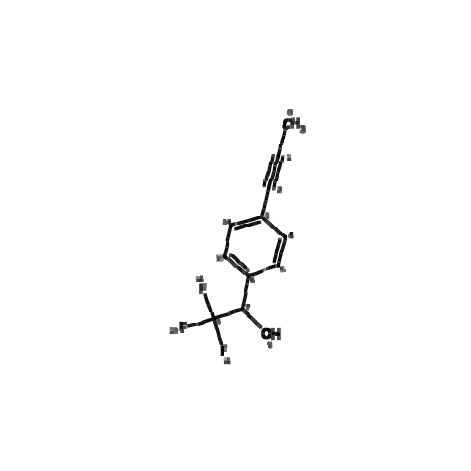 CC#Cc1ccc(C(O)C(F)(F)F)cc1